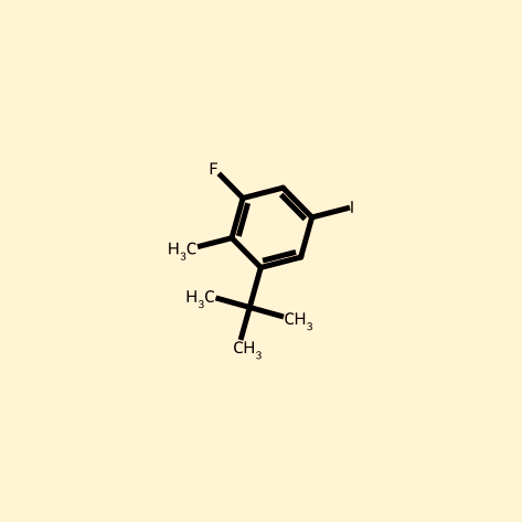 Cc1c(F)cc(I)cc1C(C)(C)C